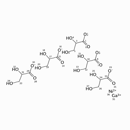 O=C([O-])C(O)CO.O=C([O-])C(O)CO.O=C([O-])C(O)CO.O=C([O-])C(O)CO.O=C([O-])C(O)CO.[Ga+3].[Ni+2]